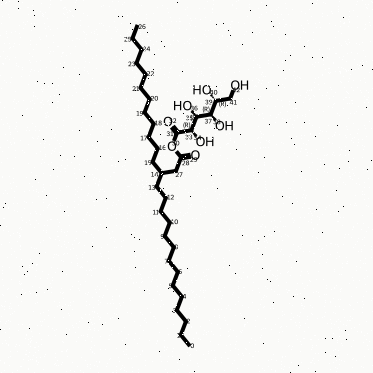 CCCCCCCCCCCCCCC(CCCCCCCCCCCC)CC(=O)OC(=O)[C@H](O)[C@@H](O)[C@H](O)[C@H](O)CO